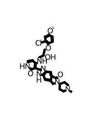 COc1ccc(OC[C@H](O)CNc2cc[nH]c(=O)c2-c2nc3cc4c(cc3[nH]2)CN(C2CCN(C)CC2)C4=O)c(Cl)c1